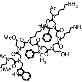 COCCN(CC(=O)N(CC(=O)N(CCOC)CC(=O)N(CCCCN)CC(=O)N(CC(=O)N(CCO)CC(=O)N(CCCCN)CC(=O)N(CC(=O)N(CCCCN)CC(C)=O)[C@@H](C)c1ccccc1)[C@@H](C)c1ccccc1)Cc1c[nH]c2ccccc12)C(C)=O